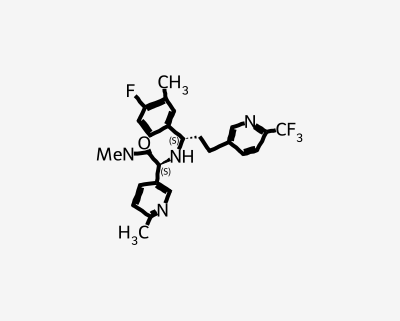 CNC(=O)[C@@H](N[C@@H](CCc1ccc(C(F)(F)F)nc1)c1ccc(F)c(C)c1)c1ccc(C)nc1